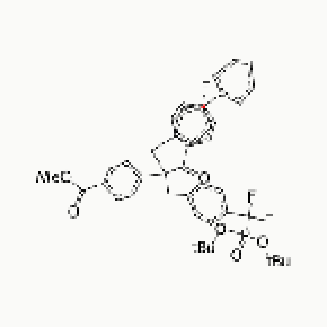 COC(=O)c1ccc(C(Cc2ccc(-c3ccccc3)cc2)(Cc2ccc(C(F)(F)P(=O)(OC(C)(C)C)OC(C)(C)C)cc2)C(=O)c2ccc(F)cc2)cc1